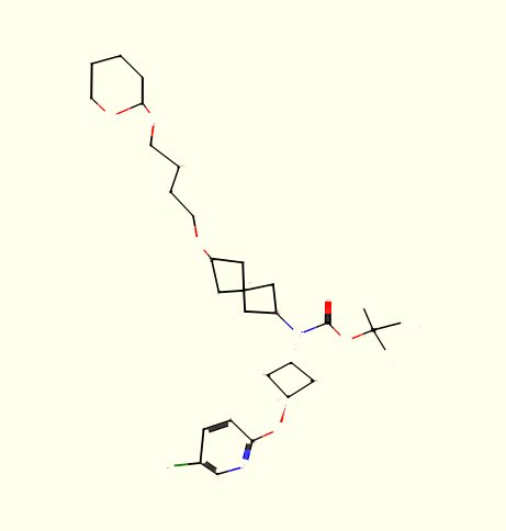 CC(C)(C)OC(=O)N(C1CC2(CC(OCCCCOC3CCCCO3)C2)C1)[C@H]1C[C@H](Oc2ccc(Br)cn2)C1